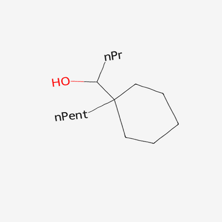 CCCCCC1(C(O)CCC)CCCCC1